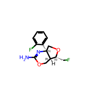 NC1=N[C@@]2(c3ccccc3F)CO[C@H](CF)[C@H]2CO1